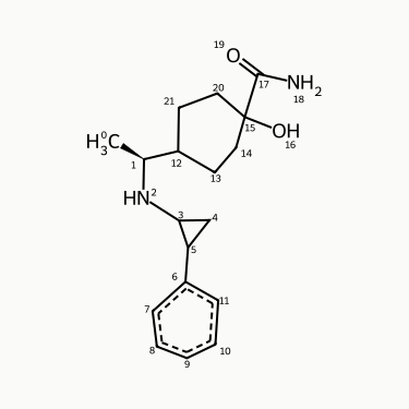 C[C@H](NC1CC1c1ccccc1)C1CCC(O)(C(N)=O)CC1